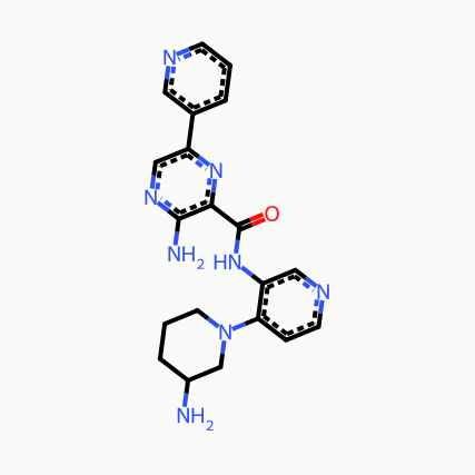 Nc1ncc(-c2cccnc2)nc1C(=O)Nc1cnccc1N1CCCC(N)C1